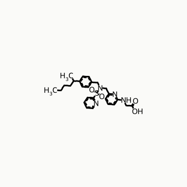 CCCCC(C)c1ccc(CN(Cc2cccc(NCC(=O)O)n2)S(=O)(=O)c2ccccn2)cc1